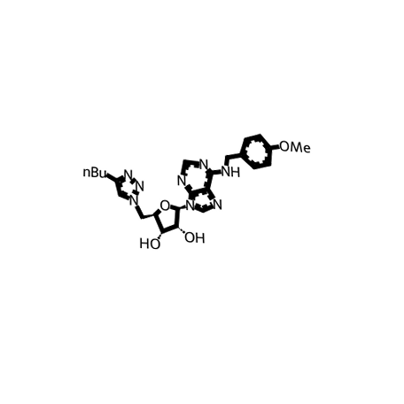 CCCCc1cn(C[C@H]2O[C@@H](n3cnc4c(NCc5ccc(OC)cc5)ncnc43)[C@H](O)[C@@H]2O)nn1